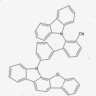 N#Cc1cccc(-c2cccc(-n3c4ccccc4c4ccc5c6ccccc6oc5c43)c2)c1-n1c2ccccc2c2ccccc21